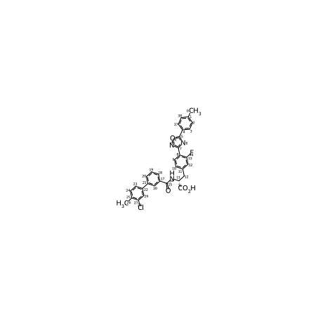 Cc1ccc(-c2nc(-c3ccc(C[C@@H](NC(=O)c4cccc(-c5ccc(C)c(Cl)c5)c4)C(=O)O)cc3F)no2)cc1